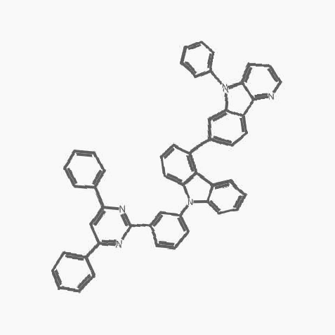 c1ccc(-c2cc(-c3ccccc3)nc(-c3cccc(-n4c5ccccc5c5c(-c6ccc7c8ncccc8n(-c8ccccc8)c7c6)cccc54)c3)n2)cc1